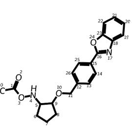 CC(=O)ONC1CCCC1OCc1ccc(-c2nc3ccccc3o2)cc1